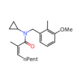 CCCCC/C=C(/C)C(=O)N(Cc1cccc(OC)c1C)C1CC1